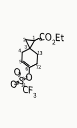 CCOC(=O)C1CC12CC=C(OS(=O)(=O)C(F)(F)F)CC2